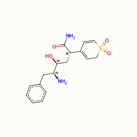 NC(=O)[C@@H](C[C@H](O)[C@@H](N)Cc1ccccc1)C1=CCS(=O)(=O)C=C1